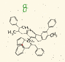 Cc1cc2c(cc1-c1ccccc1)-c1ccc(CC(C)C(C)c3ccccc3)[c]([Zr+2](=[C](Cc3ccccc3)Cc3ccccc3)[CH]3C=CC=C3)c1C2.[Cl-].[Cl-]